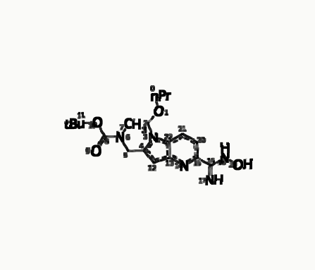 CCCOCn1c(CN(C)C(=O)OC(C)(C)C)cc2nc(C(=N)NO)ccc21